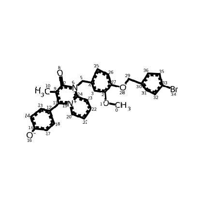 COc1cc(Cn2c(=O)c(C)c(-c3ccc([O-])cc3)[n+]3ccccc23)ccc1OCc1ccc(Br)cc1